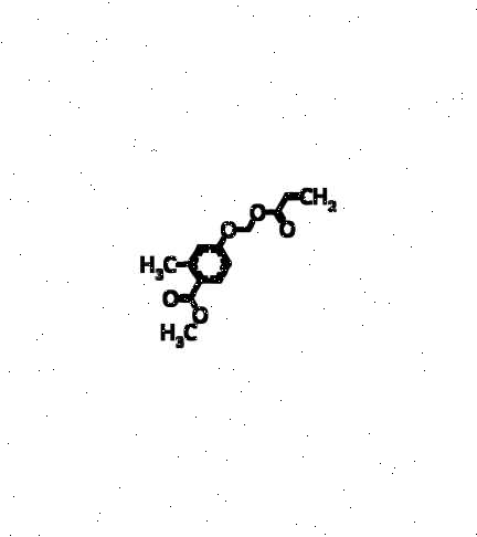 C=CC(=O)OCOc1ccc(C(=O)OC)c(C)c1